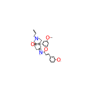 C=CCN1CC[C@@]2(c3cccc(OC)c3)C[C@H](N(C)C(=O)C=Cc3cccc(OC)c3)CC[C@]2(OC)C1